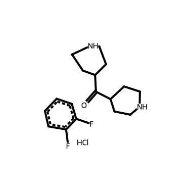 Cl.Fc1ccccc1F.O=C(C1CCNCC1)C1CCNCC1